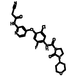 N#CCC(=O)Nc1cc(Oc2cc(F)c(NC(=O)N3CCN(C4CCOCC4)C3=O)cc2Cl)ccn1